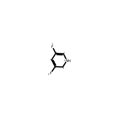 FC1=CNCC(F)=C1